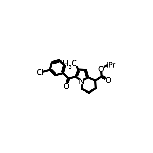 Cc1cc2n(c1C(=O)c1cccc(Cl)c1)CCCC2C(=O)OC(C)C